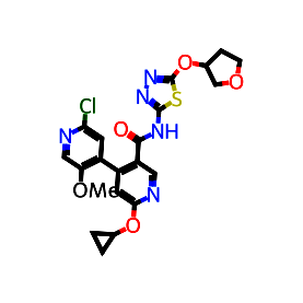 COc1cnc(Cl)cc1-c1cc(OC2CC2)ncc1C(=O)Nc1nnc(OC2CCOC2)s1